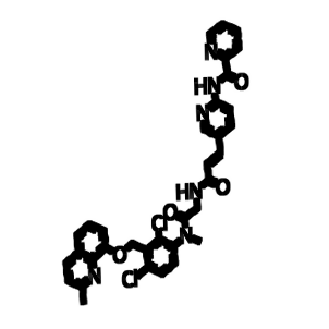 Cc1ccc2cccc(OCc3c(Cl)ccc(N(C)C(=O)CNC(=O)/C=C/c4ccc(NC(=O)c5ccccn5)nc4)c3Cl)c2n1